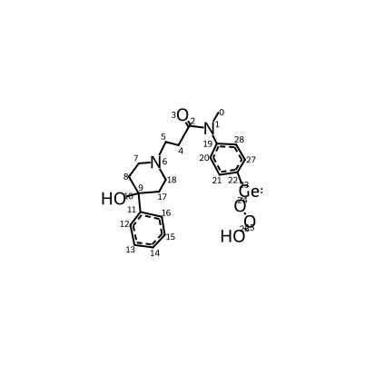 CN(C(=O)CCN1CCC(O)(c2ccccc2)CC1)c1cc[c]([Ge][O]OO)cc1